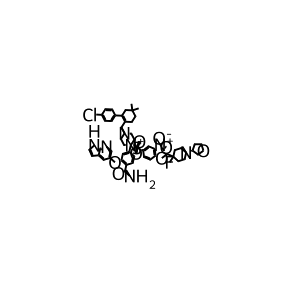 CC1(C)CCC(CN2CC[N+](c3ccc(C(N)=O)c(Oc4cnc5[nH]ccc5c4)c3)(S(=O)(=O)c3ccc(OCC4(F)CCN(C5CCOC5)CC4)c([N+](=O)[O-])c3)CC2)=C(c2ccc(Cl)cc2)C1